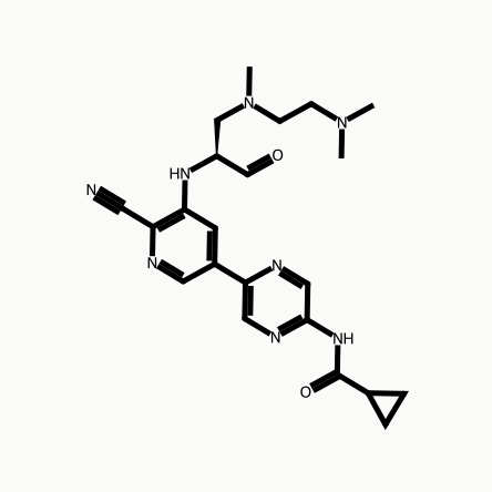 CN(C)CCN(C)C[C@@H](C=O)Nc1cc(-c2cnc(NC(=O)C3CC3)cn2)cnc1C#N